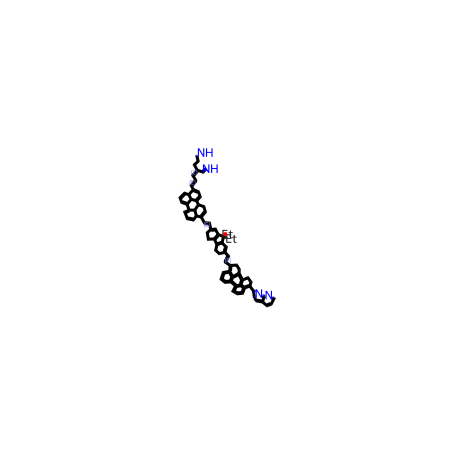 CCC1(CC)C2=C(CCC(/C=C/C3=CCC4C5=CC=C(/C=C/C=C(\C=N)CCC=N)C6C=CC=C(C7=CC=CC3C74)C56)=C2)C2=C1C=C(/C=C/C1=c3cccc4c3c(c3c5c(cccc54)=C(C4C5C=C6C=CC=NC6N54)CC3)CC1)CC2